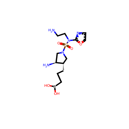 NCCN(c1ncco1)S(=O)(=O)N1C[C@H](CCCB(O)O)[C@@H](N)C1